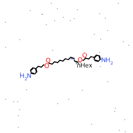 CCCCCC[C@H](C/C=C\CCCCCCCC(=O)OCCCc1ccc(N)cc1)OCC(=O)CCc1ccc(N)cc1